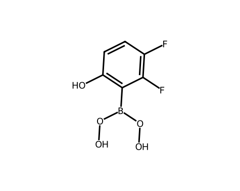 OOB(OO)c1c(O)ccc(F)c1F